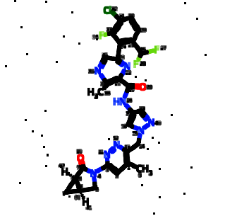 Cc1cc(N2C[C@H]3C[C@H]3C2=O)nnc1Cn1cc(NC(=O)c2nc(-c3c(C(F)F)ccc(Cl)c3F)cnc2C)cn1